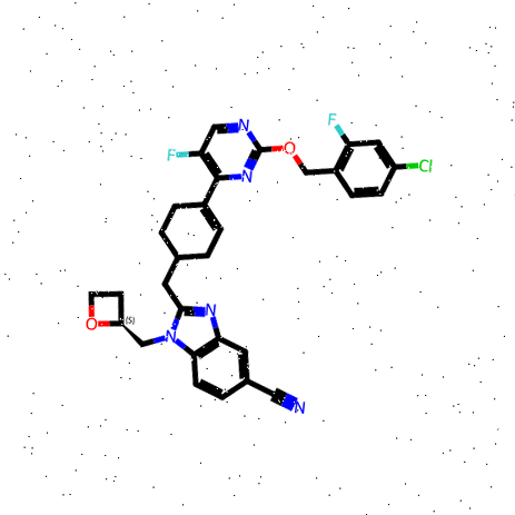 N#Cc1ccc2c(c1)nc(CC1CC=C(c3nc(OCc4ccc(Cl)cc4F)ncc3F)CC1)n2C[C@@H]1CCO1